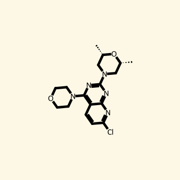 C[C@@H]1CN(c2nc(N3CCOCC3)c3ccc(Cl)nc3n2)C[C@H](C)O1